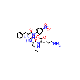 CCCC[C@@H](NC(=O)N[C@@H](Cc1ccccc1)C(=O)Nc1ccc([N+](=O)[O-])cc1)C(=O)N[C@@H](CCCCN)C(=O)OC